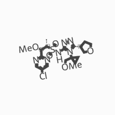 COCC1(n2c(NS(=O)(=O)[C@@H](C)[C@H](OC)c3ncc(Cl)cn3)nnc2[C@@H]2CCOC2)CC1